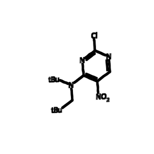 CC(C)(C)CN(c1nc(Cl)ncc1[N+](=O)[O-])C(C)(C)C